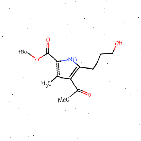 COC(=O)c1c(CCCO)[nH]c(C(=O)OC(C)(C)C)c1C